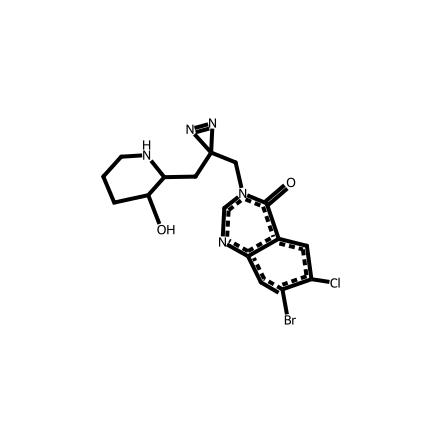 O=c1c2cc(Cl)c(Br)cc2ncn1CC1(CC2NCCCC2O)N=N1